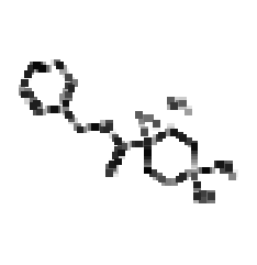 CC1(O)CCC(N)(C(=O)OCc2ccccc2)C(N)C1